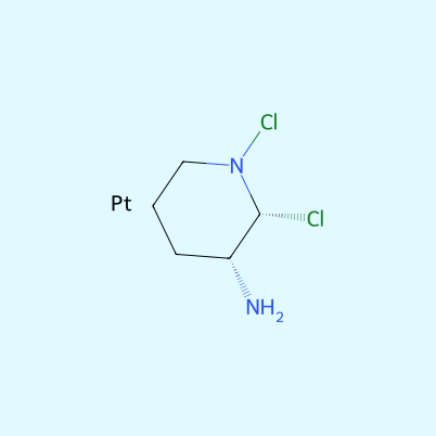 N[C@@H]1CCCN(Cl)[C@@H]1Cl.[Pt]